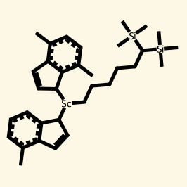 Cc1cccc2c1C=C[CH]2[Sc]([CH2]CCCC[C]([Si](C)(C)C)[Si](C)(C)C)[CH]1C=Cc2c(C)ccc(C)c21